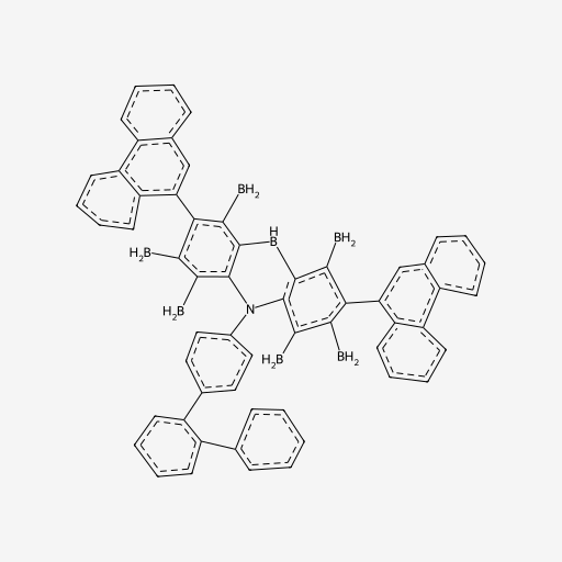 Bc1c(B)c2c(c(B)c1-c1cc3ccccc3c3ccccc13)Bc1c(B)c(-c3cc4ccccc4c4ccccc34)c(B)c(B)c1N2c1ccc(-c2ccccc2-c2ccccc2)cc1